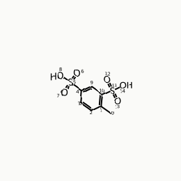 Cc1c[c]c(S(=O)(=O)O)cc1S(=O)(=O)O